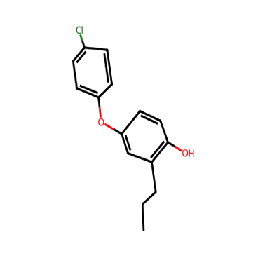 CCCc1cc(Oc2ccc(Cl)cc2)ccc1O